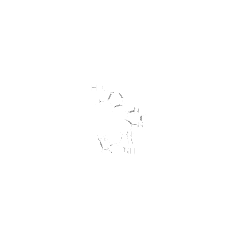 Cc1ccc(-c2cc(NC[C@H](N)c3nccs3)ncn2)cc1Cl